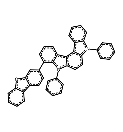 c1ccc(-n2c3ccccc3c3c4c5cccc(-c6ccc7c(c6)oc6ccccc67)c5n(-c5ccccc5)c4ccc32)cc1